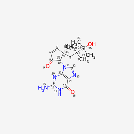 CC(C)(C[C@]1(C)C=CC(=O)[C@H]1n1cnc2c(=O)[nH]c(N)nc21)[Si](C)(C)O